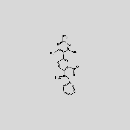 Cc1nc(N)nc(N)c1-c1ccc(N(C)Cc2ccccc2)c([N+](=O)[O-])c1